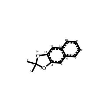 CC1(C)Oc2cc3ccccc3cc2O1